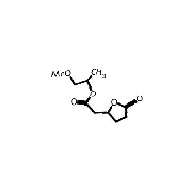 COCC(C)OC(=O)CC1CCC(=O)O1